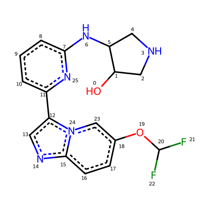 OC1CNCC1Nc1cccc(-c2cnc3ccc(OC(F)F)cn23)n1